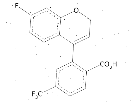 O=C(O)c1ccc(C(F)(F)F)cc1C1=CCOc2cc(F)ccc21